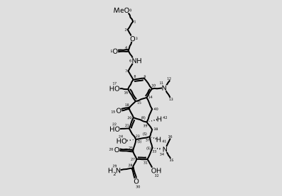 COCCOC(=O)NCc1cc(N(C)C)c2c(c1O)C(=O)C1=C(O)[C@]3(O)C(=O)C(C(N)=O)=C(O)[C@@H](N(C)C)[C@@H]3C[C@@H]1C2